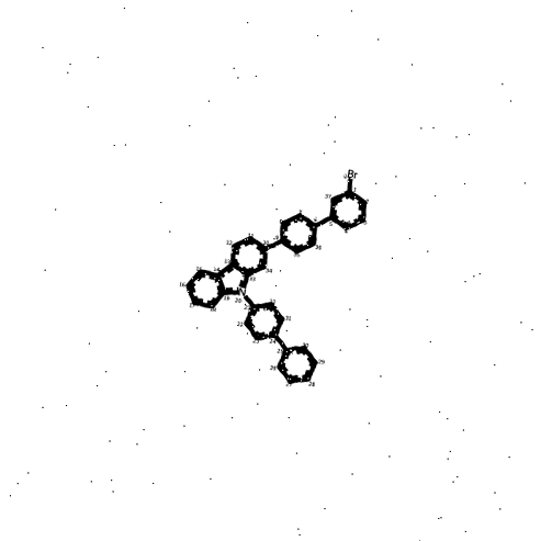 Brc1cccc(-c2ccc(-c3ccc4c5ccccc5n(-c5ccc(-c6ccccc6)cc5)c4c3)cc2)c1